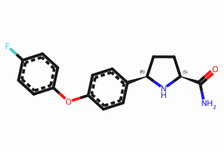 NC(=O)[C@@H]1CC[C@H](c2ccc(Oc3ccc(F)cc3)cc2)N1